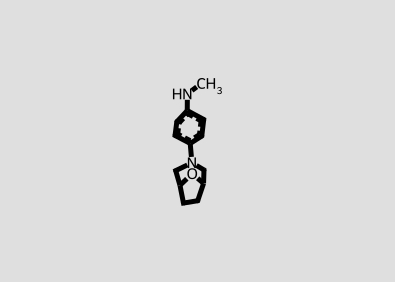 CNc1ccc(N2CC3CCC(C2)O3)cc1